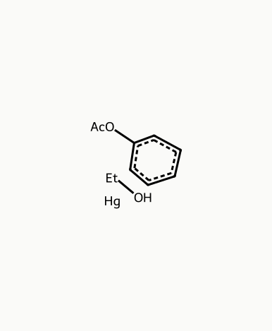 CC(=O)Oc1ccccc1.CCO.[Hg]